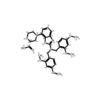 COc1ccc(CN(Cc2ccc(OC)cc2OC)c2nc3cncc(N4CCO[C@@H](C(=O)O)C4)c3o2)c(OC)c1